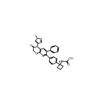 Cn1cc(N2C(=O)COc3nc(-c4ccc(C5(NC(=O)O)CCC5)cc4)c(-c4ccccc4)cc32)cn1